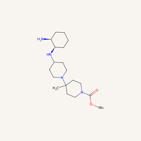 CC(C)(C)OC(=O)N1CCC(C)(N2CCC(N[C@@H]3CCCC[C@@H]3N)CC2)CC1